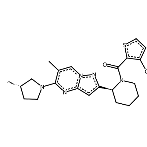 Cc1cn2nc([C@@H]3CCCCN3C(=O)c3sccc3Cl)cc2nc1N1CC[C@H](C)C1